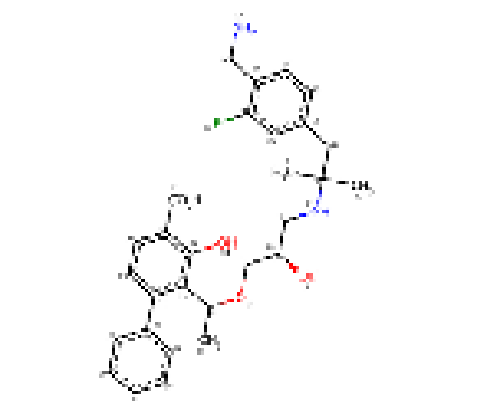 CC(OC[C@H](O)CNC(C)(C)Cc1ccc(CN)c(F)c1)c1c(-c2ccccc2)ccc(C(=O)O)c1O